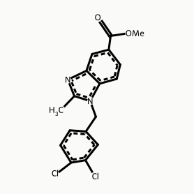 COC(=O)c1ccc2c(c1)nc(C)n2Cc1ccc(Cl)c(Cl)c1